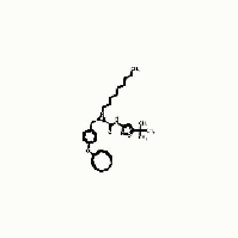 CCCCCCCCCN1[C@H](Cc2ccc(OC3=C/C=C\CCC/C=C\3)cc2)[C@@H]1C(=O)Nc1cc(C(C)(C)C)on1